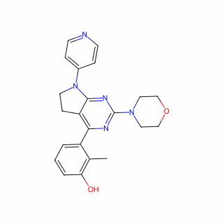 Cc1c(O)cccc1-c1nc(N2CCOCC2)nc2c1CCN2c1ccncc1